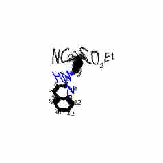 CCOC(=O)C(C#N)=CNc1ccc2ccccc2n1